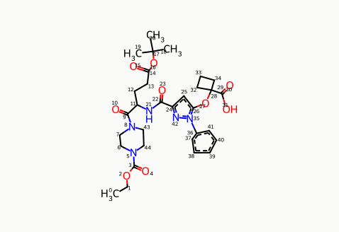 CCOC(=O)N1CCN(C(=O)C(CCC(=O)OC(C)(C)C)NC(=O)c2cc(OC3(C(=O)O)CCC3)n(-c3ccccc3)n2)CC1